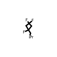 CC(C)CC1(F)CC(F)(F)C1